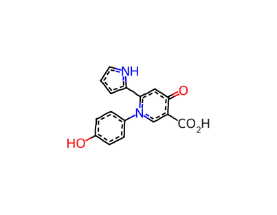 O=C(O)c1cn(-c2ccc(O)cc2)c(-c2ccc[nH]2)cc1=O